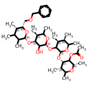 CC(=O)OC1[C@H](C)OC(C)[C@H](C)[C@@H]1O[C@@H]1OC(C)[C@H](C)[C@H](C)C1O[C@@H]1OC(C)[C@H](C)[C@H](O[C@H]2O[C@@H](COCc3ccccc3)[C@@H](C)C(C)C2C)C1O